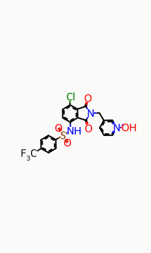 O=C1c2c(Cl)ccc(NS(=O)(=O)c3ccc(C(F)(F)F)cc3)c2C(=O)N1Cc1ccc[n+](O)c1